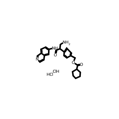 Cl.Cl.NCC(C(=O)Nc1ccc2cnccc2c1)c1ccc(COC(=O)C2CCCCC2)cc1